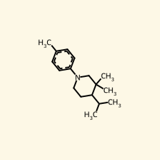 Cc1ccc(N2CCC(C(C)C)C(C)(C)C2)cc1